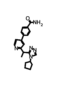 CC(c1cc(-c2ccc(C(N)=O)cc2)ccn1)c1nncn1C1CCCC1